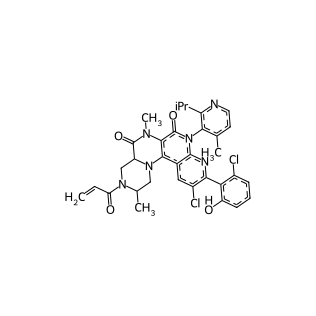 C=CC(=O)N1CC2C(=O)N(C)c3c(c4cc(Cl)c(-c5c(O)cccc5Cl)nc4n(-c4c(C)ccnc4C(C)C)c3=O)N2CC1C